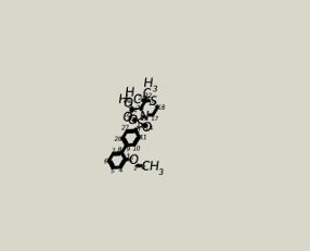 CCOc1ccccc1-c1ccc(S(=O)(=O)N2CCSC(C)(C)[C@@H]2C(=O)O)cc1